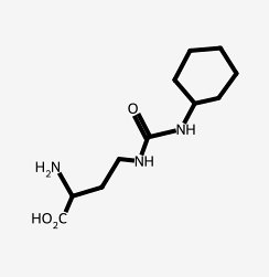 NC(CCNC(=O)NC1CCCCC1)C(=O)O